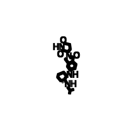 CC(C)CN[C@H]1CCCCC1Nc1ccc2c(c1)CN(C1CCC(=O)NC1=O)C2=O